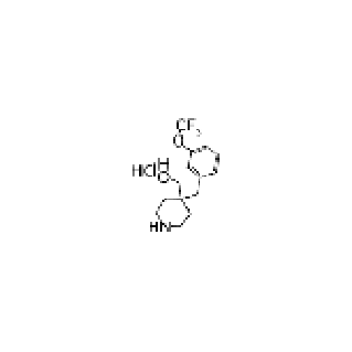 Cl.OCC1(Cc2cccc(OC(F)(F)F)c2)CCNCC1